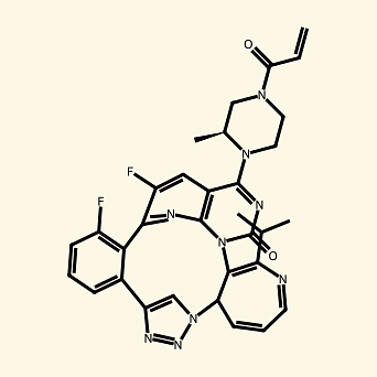 C=CC(=O)N1CCN(c2nc(=O)n3c4nc(c(F)cc24)-c2c(F)cccc2-c2cn(nn2)C2C=CC=NC(C(C)C)=C23)[C@@H](C)C1